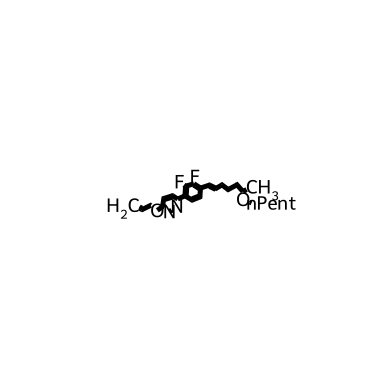 C=CCOc1ccc(-c2ccc(C=CCCCC(C)OCCCCC)c(F)c2F)nn1